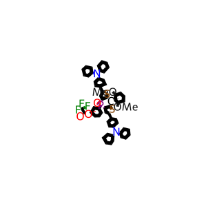 COc1cccc(OC)c1[C+]1c2sc(-c3ccc(N(c4ccccc4)c4ccccc4)cc3)cc2P(=O)(c2ccccc2)c2cc(-c3ccc(N(c4ccccc4)c4ccccc4)cc3)sc21.O=C([O-])C(F)(F)F